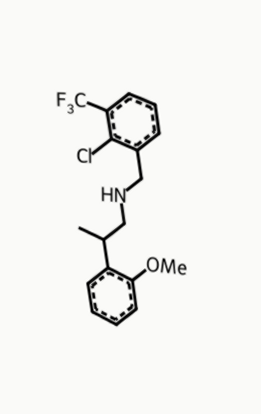 COc1ccccc1C(C)CNCc1cccc(C(F)(F)F)c1Cl